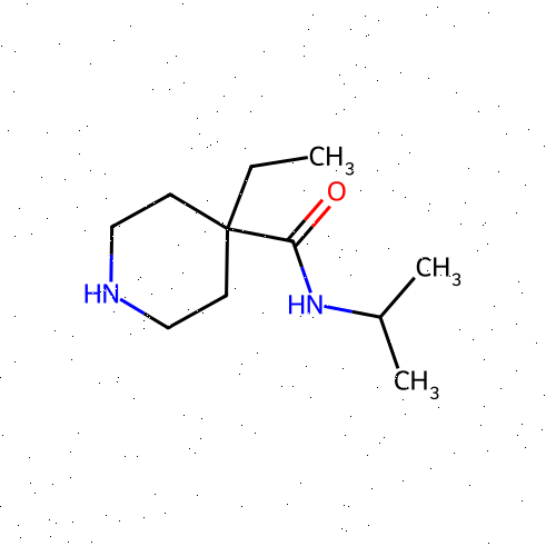 CCC1(C(=O)NC(C)C)CCNCC1